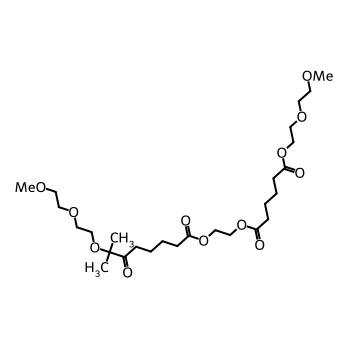 COCCOCCOC(=O)CCCCC(=O)OCCOC(=O)CCCCC(=O)C(C)(C)OCCOCCOC